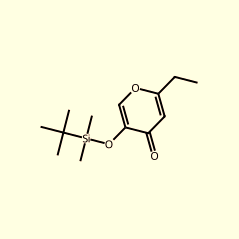 CCc1cc(=O)c(O[Si](C)(C)C(C)(C)C)co1